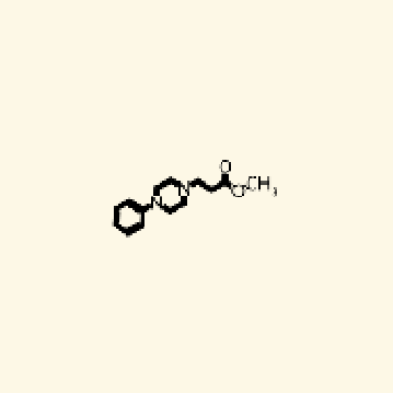 COC(=O)CCN1CCN(c2ccccc2)CC1